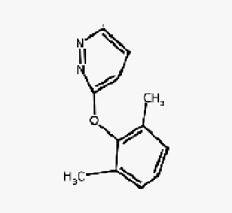 Cc1cccc(C)c1Oc1cc[c]nn1